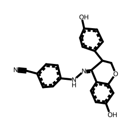 N#Cc1ccc(NN=C2c3ccc(O)cc3OCC2c2ccc(O)cc2)cc1